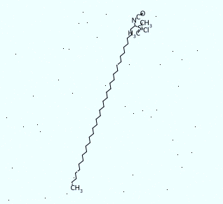 CCCCCCCCCCCCCCCCCCCCCCCCCCCCCCCCCCCCC(N=C=O)[Si](C)(C)Cl